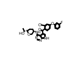 CC(O)[C@@H]1CC[C@@H](Nc2ncnc3[nH]cc(C(=O)c4ccc(Oc5cccc(F)c5)cc4Cl)c23)CO1